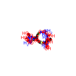 CN[C@@H](Cc1ccccc1)C(=O)N[C@@H](Cc1ccc(O)cc1)C(=O)N[C@@H](CC(=O)O)C(=O)N[C@H](C(=O)N[C@@H](CSCCCOc1cc2cc(c1)OCCCSC[C@H](C)C(=O)N[C@H](C)C(=O)N[C@@H](CC(N)=O)C(=O)N[C@@H](CCC(=O)O)C(=O)N[C@@H](Cc1cccc3ccccc13)C(=O)N[C@H]1C(=O)N[C@@H](CSCCCO2)C(=O)N[C@H](C(=O)N[C@H](C=O)CC(=O)O)CC1C(=O)O)C(N)=O)C(C)(C)C